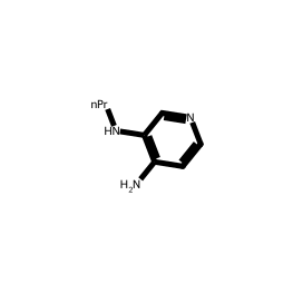 CCCNc1cnccc1N